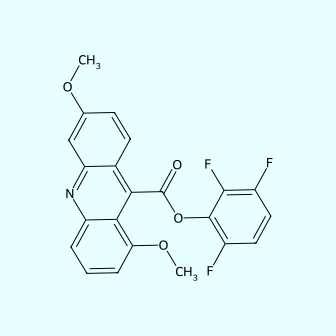 COc1ccc2c(C(=O)Oc3c(F)ccc(F)c3F)c3c(OC)cccc3nc2c1